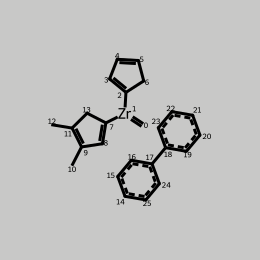 [CH2]=[Zr]([C]1=CC=CC1)[C]1=CC(C)=C(C)C1.c1ccc(-c2ccccc2)cc1